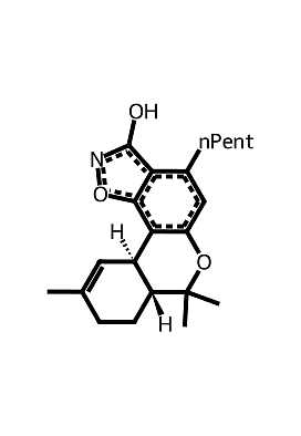 CCCCCc1cc2c(c3onc(O)c13)[C@@H]1C=C(C)CC[C@H]1C(C)(C)O2